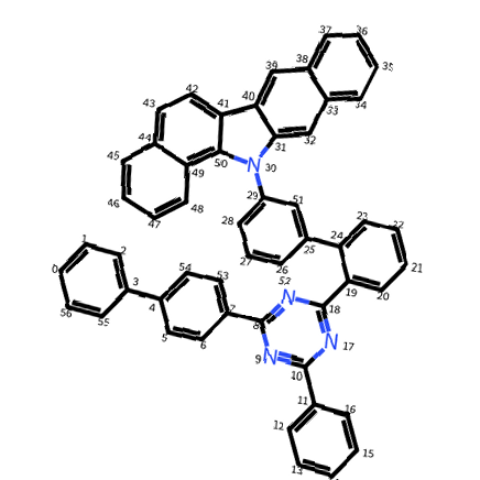 c1ccc(-c2ccc(-c3nc(-c4ccccc4)nc(-c4ccccc4-c4cccc(-n5c6cc7ccccc7cc6c6ccc7ccccc7c65)c4)n3)cc2)cc1